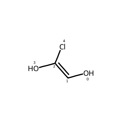 O/C=C(/O)Cl